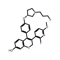 COc1ccc(C2=C(c3ccc(O[C@H]4CCN(CCCF)C4)cc3)c3ccc(O)cc3SC2)c(F)n1